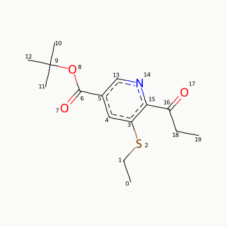 CCSc1cc(C(=O)OC(C)(C)C)cnc1C(=O)CC